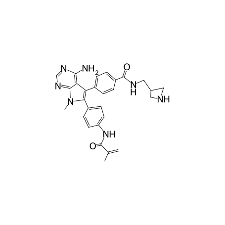 C=C(C)C(=O)Nc1ccc(-c2c(-c3ccc(C(=O)NCC4CNC4)cc3)c3c(N)ncnc3n2C)cc1